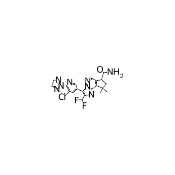 CC1(C)CC(C(N)=O)c2cnn3c(-c4cnc(-n5nccn5)c(Cl)c4)c(C(F)F)nc3c21